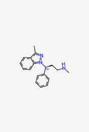 CNCC[C@@H](c1ccccc1)n1nc(C)c2ccccc21